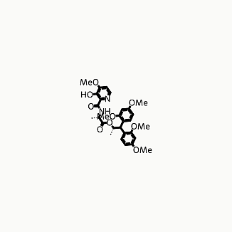 COc1ccc(C(c2ccc(OC)cc2OC)[C@H](C)OC(=O)[C@H](C)NC(=O)c2nccc(OC)c2O)c(OC)c1